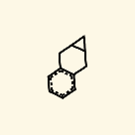 c1ccc2c(c1)CC1CC1C2